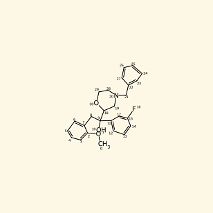 COc1ccccc1CC(O)(c1cccc(F)c1)C1CN(Cc2ccccc2)CCO1